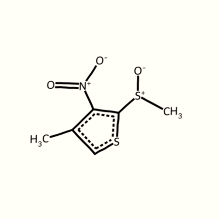 Cc1csc([S+](C)[O-])c1[N+](=O)[O-]